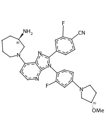 CO[C@H]1CCN(c2ccc(-n3c(-c4ccc(C#N)c(F)c4)nc4c(N5CCCC[C@@H](N)C5)ccnc43)c(F)c2)C1